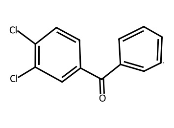 O=C(c1c[c]ccc1)c1ccc(Cl)c(Cl)c1